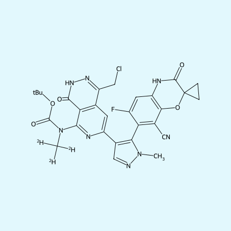 [2H]C([2H])([2H])N(C(=O)OC(C)(C)C)c1nc(-c2cnn(C)c2-c2c(F)cc3c(c2C#N)OC2(CC2)C(=O)N3)cc2c(CCl)n[nH]c(=O)c12